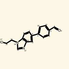 O=Cc1ccc(-c2ccc3c(c2)ncn3CCO)cc1